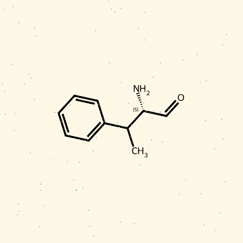 CC(c1ccccc1)[C@H](N)C=O